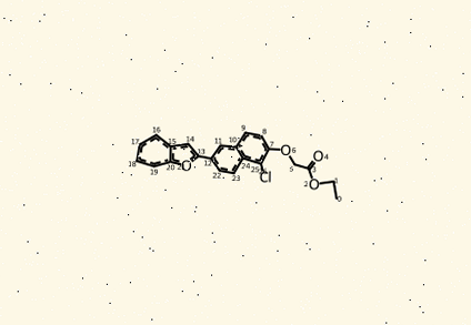 CCOC(=O)COc1ccc2cc(-c3cc4ccccc4o3)ccc2c1Cl